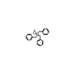 CO[Si](Cc1ccccc1)(Cc1ccccc1)Cc1ccccc1